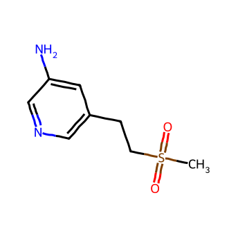 CS(=O)(=O)CCc1cncc(N)c1